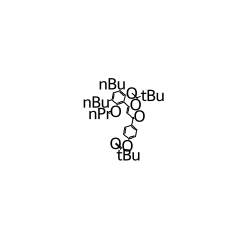 CCCCc1cc(CCCC)c(OC(=O)C(C)(C)C)c(C=CC(=O)c2ccc(OC(=O)C(C)(C)C)cc2)c1OCCC